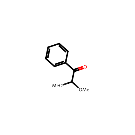 COC(OC)C(=O)c1ccccc1